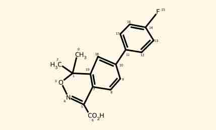 CC1(C)ON=C(C(=O)O)c2ccc(-c3ccc(F)cc3)cc21